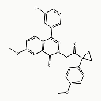 COc1ccc(C2(C(=O)Cn3nc(-c4cccc(Cl)c4)c4ccc(OC)cc4c3=O)CC2)cc1